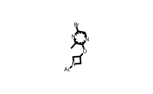 CC(=O)N1CC(Oc2ncc(Br)nc2C)C1